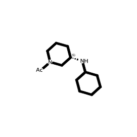 CC(=O)N1CCC[C@H](NC2CCCCC2)C1